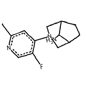 Cc1cc(N2CC3CCC(C2)C3N)c(F)cn1